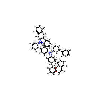 c1ccc(-c2cccc(N(c3ccc(-c4ccccc4-n4c5ccccc5c5cc6ccccc6cc54)cc3)c3ccc(-c4ccccc4)c(-c4cccc5ccccc45)c3)c2)cc1